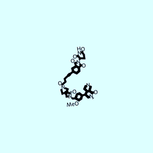 COc1cc(-c2cn(C)c(=O)c3cnccc23)cc(OC)c1CN1CC2(CCN(C(=O)CCC#Cc3ccc4c(c3)C(=O)N(C3CCC(=O)NC3=O)C4=O)C2)C1